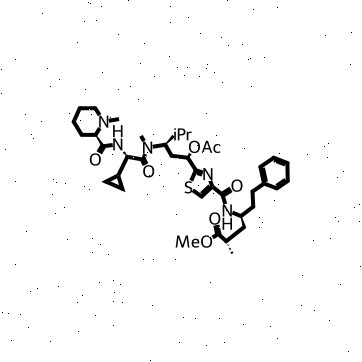 COC(=O)[C@@H](C)C[C@H](CCc1ccccc1)NC(=O)c1csc([C@@H](C[C@H](C(C)C)N(C)C(=O)[C@@H](NC(=O)[C@H]2CCCCN2C)C2CC2)OC(C)=O)n1